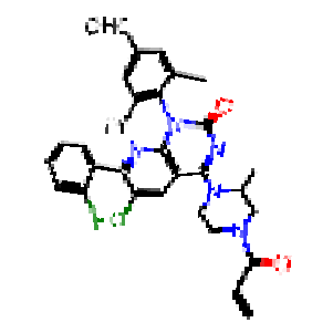 C=CC(=O)N1CCN(c2nc(=O)n(-c3c(C)cc(C=O)cc3C(C)C)c3nc(-c4ccccc4F)c(Cl)cc23)C(C)C1